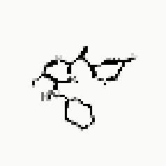 C=C(c1cncc(F)c1)c1ncc(F)c(NC2CCCCC2)n1